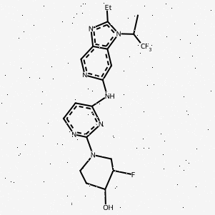 CCc1nc2cnc(Nc3ccnc(N4CCC(O)C(F)C4)n3)cc2n1C(C)C(F)(F)F